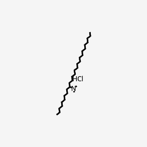 CCCCCCCCCCCCCCCCCC(CCCCCCCCC)N(C)C.Cl